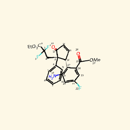 CCOC(=O)C(F)(F)C[C@@]1(c2ccccc2)C(=O)C=C[C@@H]1c1c(N)cc(F)cc1C(=O)OC